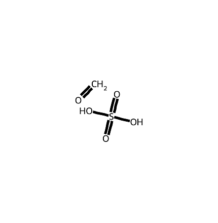 C=O.O=S(=O)(O)O